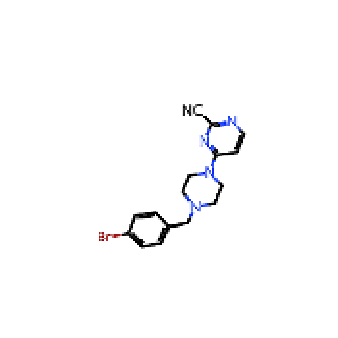 N#Cc1nccc(N2CCN(Cc3ccc(Br)cc3)CC2)n1